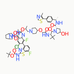 Cc1ncsc1-c1ccc([C@H](C)NC(=O)[C@@H]2C[C@@H](O)CN2C(=O)[C@@H](NC(=O)COC2CCN(CC(C)Oc3nc(N4CC5CCC(C4)N5C(=O)OC(C)(C)C)c4cc(Cl)c(-c5ccc(F)c6sc(NC(=O)OC(C)(C)C)nc56)c(F)c4n3)CC2)C(C)(C)C)cc1